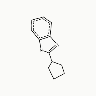 c1ccc2c(c1)[N]C(C1CCCC1)=N2